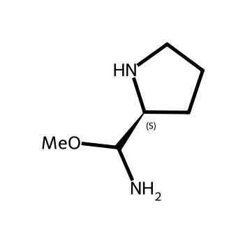 COC(N)[C@@H]1CCCN1